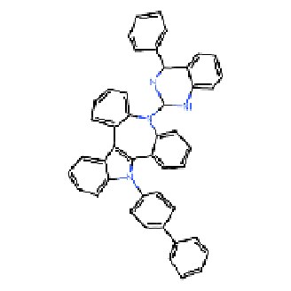 c1ccc(-c2ccc(-n3c4c(c5ccccc53)-c3ccccc3N(C3Nc5ccccc5C(c5ccccc5)N3)c3ccccc3-4)cc2)cc1